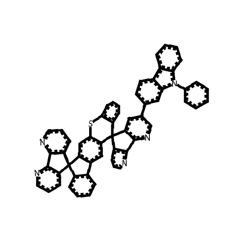 c1ccc(-n2c3ccccc3c3ccc(-c4cnc5c(c4)C4(c6ccccc6Sc6cc7c(cc64)-c4ccccc4C74c6cccnc6-c6ncccc64)c4cccnc4-5)cc32)cc1